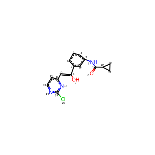 O=C(Nc1cccc(C(O)=Cc2ccnc(Cl)n2)c1)C1CC1